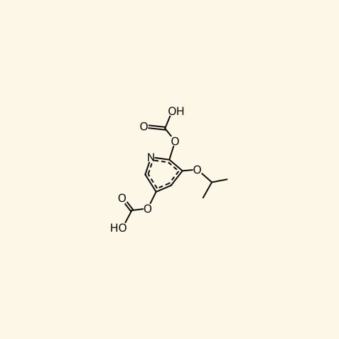 CC(C)Oc1cc(OC(=O)O)cnc1OC(=O)O